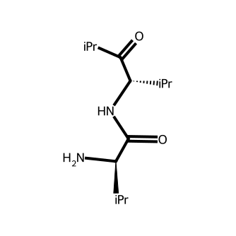 CC(C)C(=O)[C@@H](NC(=O)[C@H](N)C(C)C)C(C)C